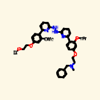 CCCOc1cc(OCCN(C)Cc2ccccc2)ccc1-c1cccc(NNc2cccc(-c3ccc(OCCOCC)cc3OC)n2)n1